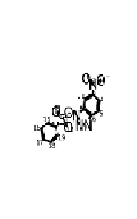 O=[N+]([O-])c1ccc2nnn(OS(=O)(=O)c3ccccc3)c2c1